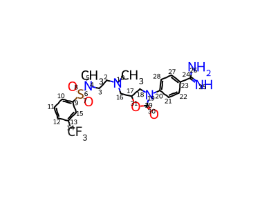 CN(CCN(C)S(=O)(=O)c1cccc(C(F)(F)F)c1)CC1CN(c2ccc(C(=N)N)cc2)C(=O)O1